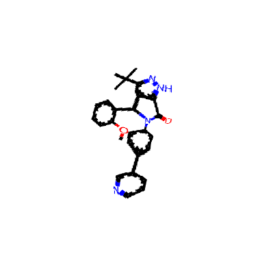 COc1ccccc1C1c2c(C(C)(C)C)n[nH]c2C(=O)N1c1ccc(-c2cccnc2)cc1